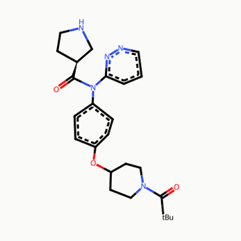 CC(C)(C)C(=O)N1CCC(Oc2ccc(N(C(=O)[C@H]3CCNC3)c3cccnn3)cc2)CC1